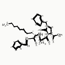 CCCCCCCC[C@H](N[C@@H](C)C(=O)N1C(=O)N(Cc2ccccc2)C[C@H]1C(=O)O)C(=O)OCc1ccccc1